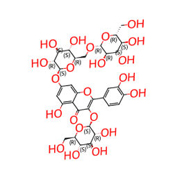 O=c1c(O[C@@H]2O[C@H](CO)[C@@H](O)[C@H](O)[C@H]2O)c(-c2ccc(O)c(O)c2)oc2cc(O[C@@H]3O[C@H](CO[C@@H]4O[C@H](CO)[C@@H](O)[C@H](O)[C@H]4O)[C@@H](O)[C@H](O)[C@H]3O)cc(O)c12